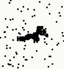 OCCN1CCN(Cc2ccc(OC(F)F)c(OCc3cc(C(F)(F)F)cc(C(F)(F)F)c3)c2)CC1